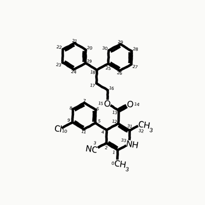 CC1=C(C#N)C(c2cccc(Cl)c2)C(C(=O)OCCC(c2ccccc2)c2ccccc2)=C(C)N1